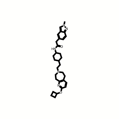 Cn1cc2cc(CC(=O)NC3CCC(CCN4CCc5ccc(OC6CCC6)nc5CC4)CC3)ccc2n1